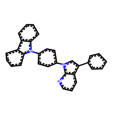 c1ccc(-c2cn(-c3ccc(-n4c5ccccc5c5ccccc54)cc3)c3ncccc23)cc1